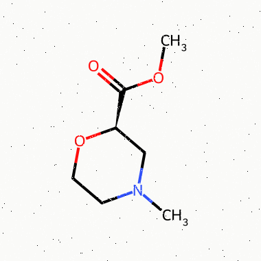 COC(=O)[C@H]1CN(C)CCO1